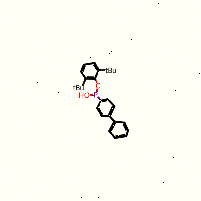 CC(C)(C)c1cccc(C(C)(C)C)c1OP(O)c1ccc(-c2ccccc2)cc1